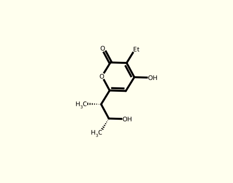 CCc1c(O)cc([C@@H](C)[C@@H](C)O)oc1=O